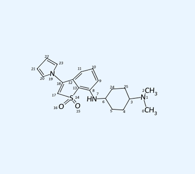 CN(C)C1CCC(Nc2cccc3c2S(=O)(=O)C=C3n2cccc2)CC1